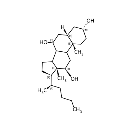 CCCC[C@@H](C)[C@H]1CCC2C3C(C[C@@H](O)[C@@]21C)[C@@]1(C)CC[C@@H](O)C[C@H]1C[C@@H]3O